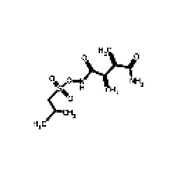 C=C(C(=C)C(=O)NOS(=O)(=O)CC(C)C)C(N)=O